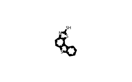 Sc1nc2ccc3sc4ccccc4c3c2s1